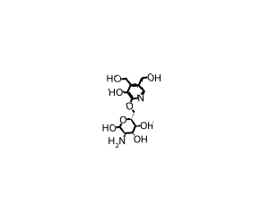 N[C@H]1C(O)O[C@H](COc2ncc(CO)c(CO)c2O)[C@@H](O)[C@@H]1O